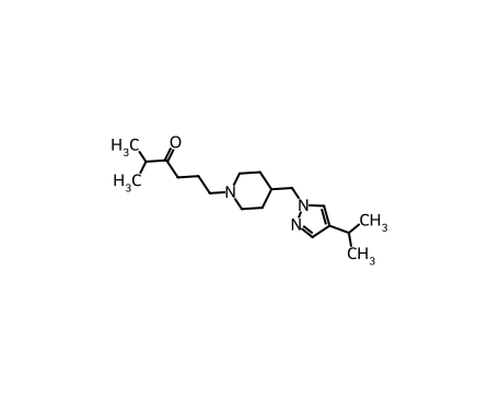 CC(C)C(=O)CCCN1CCC(Cn2cc(C(C)C)cn2)CC1